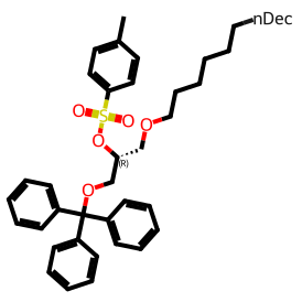 CCCCCCCCCCCCCCCCOC[C@H](COC(c1ccccc1)(c1ccccc1)c1ccccc1)OS(=O)(=O)c1ccc(C)cc1